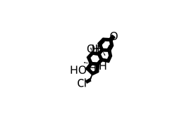 C[C@]12C[C@H](O)[C@H]3[C@@H](CCC4=CC(=O)C=C[C@@]43C)[C@@H]1C[C@@H](CCl)[C@H]2O